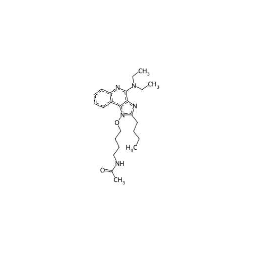 CCCCc1nc2c(N(CC)CC)nc3ccccc3c2n1OCCCCNC(C)=O